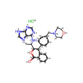 CC(Nc1ncnc2[nH]cnc12)c1oc(=O)c2ccccc2c1-c1ccc(CN2CCOCC2)cc1.Cl